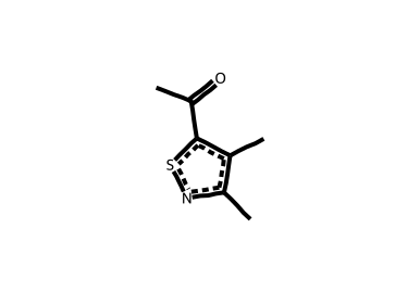 CC(=O)c1snc(C)c1C